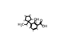 CCC1(c2cccc(C(=O)O)c2O)CCCC1